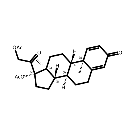 CC(=O)OCC(=O)[C@]1(OC(C)=O)CC[C@H]2[C@@H]3CCC4=CC(=O)C=C[C@]4(C)[C@H]3CC[C@@]21C